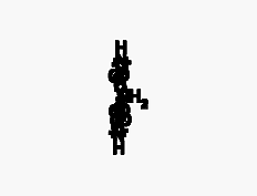 CC1(C)CC(OC(=O)C2CCC([SiH2]CC3COC(C(=O)OC4CC(C)(C)NC(C)(C)C4)OC3)CC2)CC(C)(C)N1